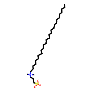 CCCCCCCCCCCCCCCCCCCCCCCCCCC[N+](C)(C)CCCS(=O)(=O)[O-]